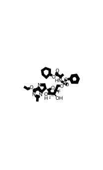 CCOc1nc(C)nc2c1N=CC2[C@@H]1O[C@](F)(COP(=O)(NC(C)C(=O)OC2CCCCC2)Oc2ccccc2)[C@@H](O)[C@@]1(C)O